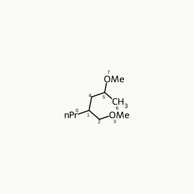 CCCC(COC)CC(C)OC